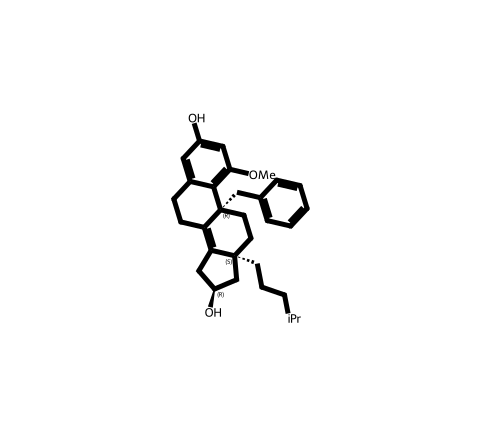 COc1cc(O)cc2c1[C@@]1(Cc3ccccc3)CC[C@@]3(CCCC(C)C)C[C@@H](O)CC3=C1CC2